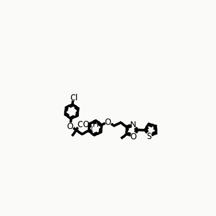 Cc1oc(-c2cccs2)nc1CCOc1ccc(CC(C)(Oc2ccc(Cl)cc2)C(=O)O)cc1